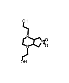 O=S1(=O)CC2C(C1)N(CCO)CCN2CCO